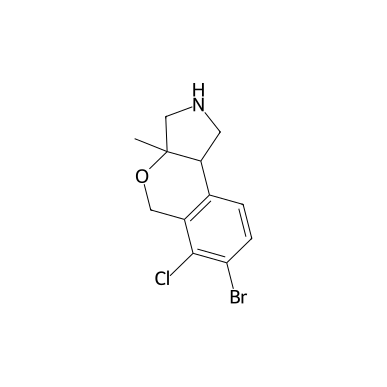 CC12CNCC1c1ccc(Br)c(Cl)c1CO2